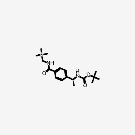 C[C@H](NC(=O)OC(C)(C)C)c1ccc(C(=O)NCS(C)(C)C)cc1